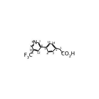 O=C(O)Cc1ccc(-c2cncc(C(F)(F)F)c2)cc1